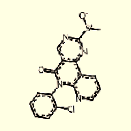 C[S+]([O-])c1ncc2c(=O)n(-c3ccccc3Cl)c3ncccc3c2n1